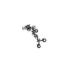 Cc1cc(C)c(CNC(=O)c2c(C)n([C@@H](C)C3CCN(CCN(CCC45CC6CC(CC4C6)C5)CCC45CC6CC(CC4C6)C5)CC3)c3ccccc23)c(=O)[nH]1